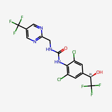 O=C(NCc1ncc(C(F)(F)F)cn1)Nc1c(Cl)cc([C@@H](O)C(F)(F)F)cc1Cl